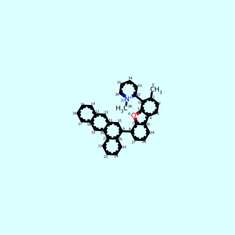 Cc1ccc2c(oc3c(-c4cc5cc6ccccc6cc5c5ccccc45)cccc32)c1-c1cccc[n+]1C